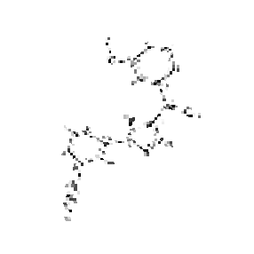 COc1cccc(C(=O)c2ccc(-c3cccc(C#N)c3)s2)c1